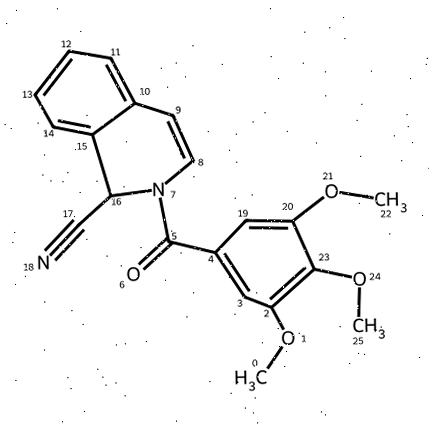 COc1cc(C(=O)N2C=Cc3ccccc3C2C#N)cc(OC)c1OC